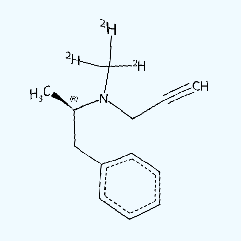 [2H]C([2H])([2H])N(CC#C)[C@H](C)Cc1ccccc1